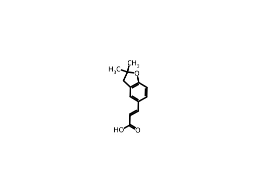 CC1(C)Cc2cc(C=CC(=O)O)ccc2O1